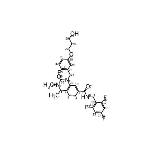 CC1c2ccc(C(=O)NCc3c(F)cc(F)cc3F)cc2N(Cc2cc(OCCCO)ccc2F)C(=O)N1C